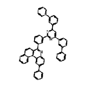 c1ccc(-c2cccc(-c3cc(-c4cccc(-c5ccccc5)c4)nc(-c4cccc(-c5nc6ccc(-c7ccccc7)cc6c6c5ccc5ccccc56)c4)n3)c2)cc1